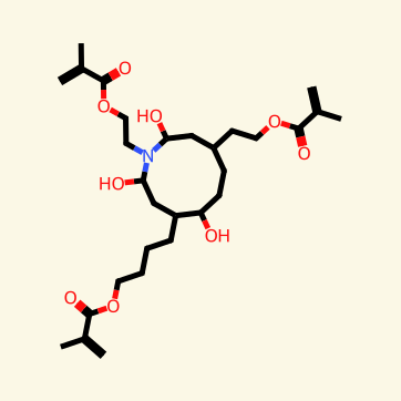 C=C(C)C(=O)OCCCCC1CC(O)N(CCOC(=O)C(=C)C)C(O)CC(CCOC(=O)C(=C)C)CCC1O